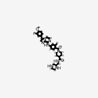 COc1ccc(-c2cnc3c(Nc4ccc(C(=O)N5CCC(C(=O)NCC6CNCCN6)CC5)c(C)c4)nccn23)cc1F